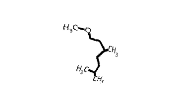 COCCC(C)CCC(C)C